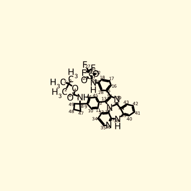 CC(C)(C)OC(=O)NC1(c2ccc(-c3c(-c4cccc(NS(=O)(=O)C(F)(F)F)c4)nc4n3-c3cccnc3Nc3ccccc3-4)cc2)CCC1